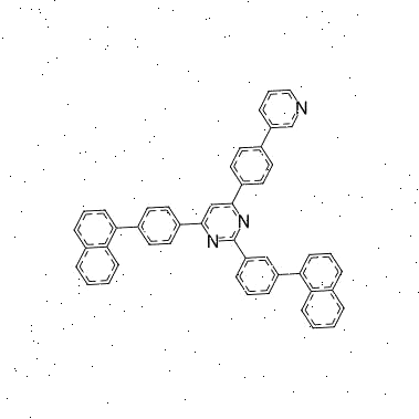 c1cncc(-c2ccc(-c3cc(-c4ccc(-c5cccc6ccccc56)cc4)nc(-c4cccc(-c5cccc6ccccc56)c4)n3)cc2)c1